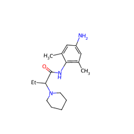 CCC(C(=O)Nc1c(C)cc(N)cc1C)N1CCCCC1